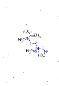 C=NN(/C=N\C)CCN(C)C(C)C